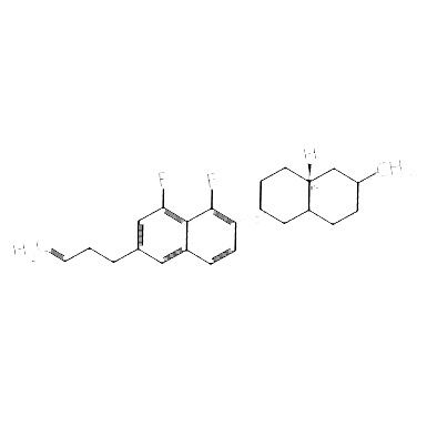 C=CCCc1cc(F)c2c(F)c([C@@H]3CC[C@@H]4CC(C)CCC4C3)ccc2c1